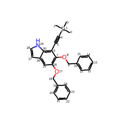 C[Si](C)(C)C#Cc1c(OCc2ccccc2)c(OCc2ccccc2)cc2cc[nH]c12